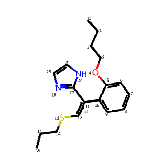 CCCCOc1ccccc1/C(=C/SCCC)c1ncc[nH]1